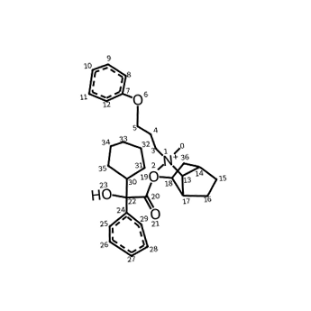 C[N+](C)(CCCOc1ccccc1)C1C2CCC1C(OC(=O)C(O)(c1ccccc1)C1CCCCC1)C2